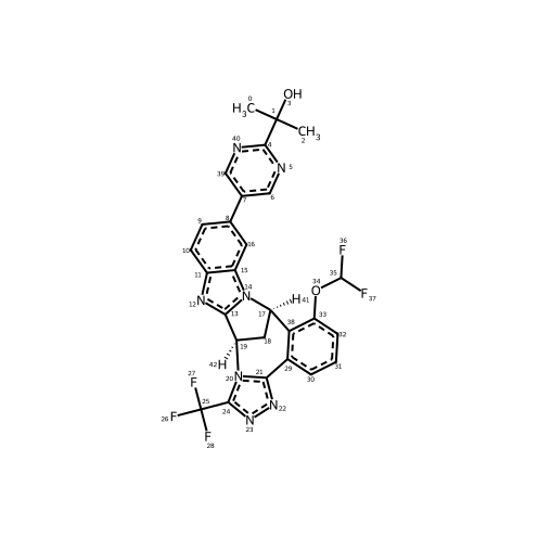 CC(C)(O)c1ncc(-c2ccc3nc4n(c3c2)[C@@H]2C[C@H]4n3c(nnc3C(F)(F)F)-c3cccc(OC(F)F)c32)cn1